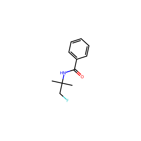 CC(C)(CF)NC(=O)c1ccccc1